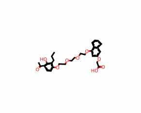 CCCc1c(OCCOCCOCCOc2cc(OCC(=O)O)cc3ccccc23)ccc(C(C)=O)c1O